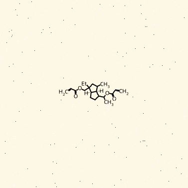 C=CC(=O)OCC1(CC)CC(C)[C@H]2C(C(C)OC(=O)C=C)CC[C@H]21